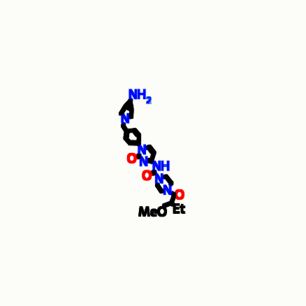 CCC(COC)C(=O)N1CCN(C(=O)Nc2ccn(-c3ccc(CN4CC5C(N)C5C4)cc3)c(=O)n2)CC1